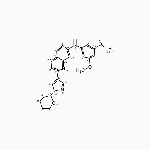 COc1cc(Nc2ccc3ncc(-c4cnn(C5CCCCO5)c4)nc3c2)cc(OC)c1